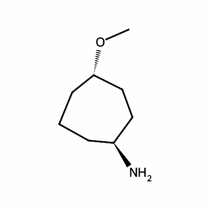 CO[C@H]1CCC[C@H](N)CC1